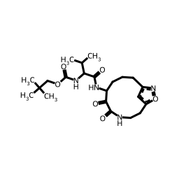 CC(C)C(NC(=O)OCC(C)(C)C)C(=O)NC1CCCc2cc(on2)CCNC(=O)C1=O